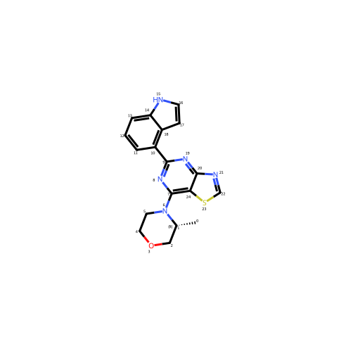 C[C@@H]1COCCN1c1nc(-c2cccc3[nH]ccc23)nc2ncsc12